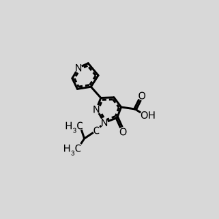 CC(C)Cn1nc(-c2ccncc2)cc(C(=O)O)c1=O